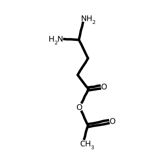 CC(=O)OC(=O)CCC(N)N